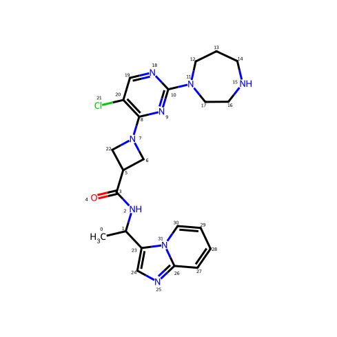 CC(NC(=O)C1CN(c2nc(N3CCCNCC3)ncc2Cl)C1)c1cnc2ccccn12